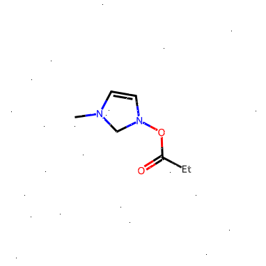 CCC(=O)ON1C=CN(C)C1